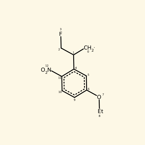 [CH2]C(CF)c1cc(OCC)ccc1[N+](=O)[O-]